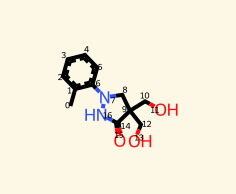 Cc1ccccc1N1CC(CO)(CO)C(=O)N1